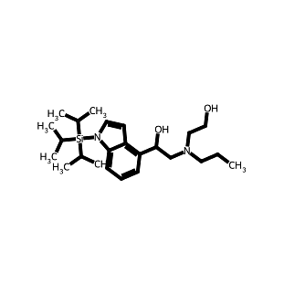 CCCN(CCO)CC(O)c1cccc2c1ccn2[Si](C(C)C)(C(C)C)C(C)C